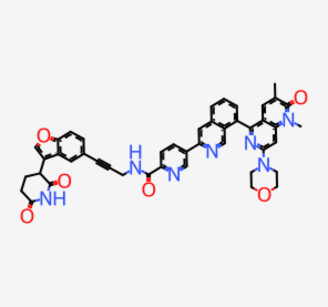 Cc1cc2c(-c3cccc4cc(-c5ccc(C(=O)NCC#Cc6ccc7occ(C8CCC(=O)NC8=O)c7c6)nc5)ncc34)nc(N3CCOCC3)cc2n(C)c1=O